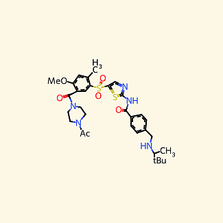 COc1cc(C)c(S(=O)(=O)c2cnc(NC(=O)c3ccc(CNC(C)C(C)(C)C)cc3)s2)cc1C(=O)N1CCN(C(C)=O)CC1